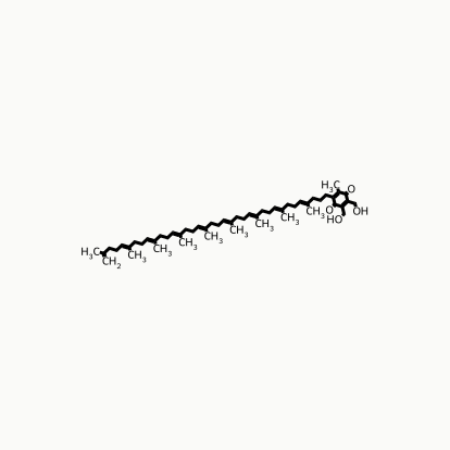 C=C(C)CC/C=C(\C)CC/C=C(\C)CC/C=C(\C)CC/C=C(\C)CC/C=C(\C)CC/C=C(\C)CC/C=C(\C)CC/C=C(\C)CCCC1=C(C)C(=O)C(CO)=C(CO)C1=O